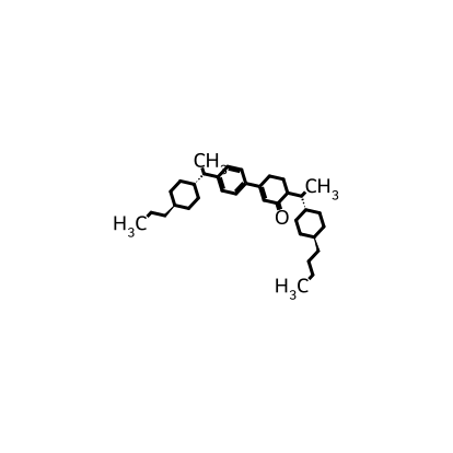 CCCC[C@H]1CC[C@H](C(C)C2CCC(c3ccc(C(C)[C@H]4CC[C@H](CCC)CC4)cc3)=CC2=O)CC1